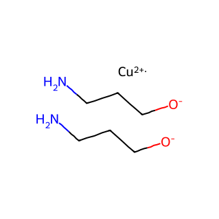 NCCC[O-].NCCC[O-].[Cu+2]